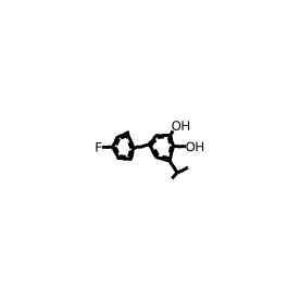 CC(C)c1cc(-c2ccc(F)cc2)cc(O)c1O